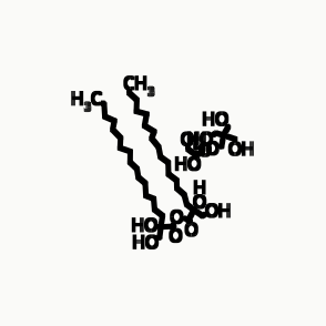 CCCCCCCCCCCCCCCCC(O)(CO)C(=O)OC(=O)C(O)(CO)CCCCCCCCCCCCCCCC.O=C(O)CO.OCC(CO)(CO)CO